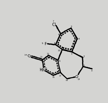 CC1Cc2ccc(Cl)c(F)c2-c2cc(=O)[nH]cc2CO1